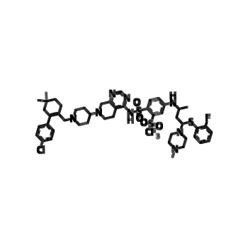 CC(CC(Sc1ccccc1F)N1CCN(C)CC1)Nc1ccc(S(=O)(=O)Nc2ncnc3c2CCN(C2CCN(CC4=C(c5ccc(Cl)cc5)CC(C)(C)CC4)CC2)C3)c(S(=O)(=O)C(F)(F)F)c1